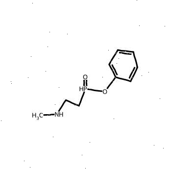 CNCC[PH](=O)Oc1ccccc1